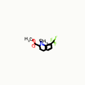 COC(=O)C1CCc2ccc(C(F)(F)F)cc2N1C